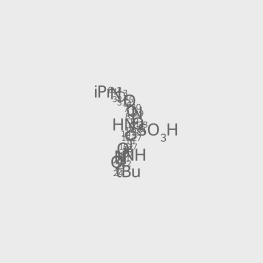 CC(C)N1CCC(Oc2ccc(C(=O)Nc3ccc(CC(=O)Nc4cc(C(C)(C)C)on4)cc3)nc2)CC1.CS(=O)(=O)O